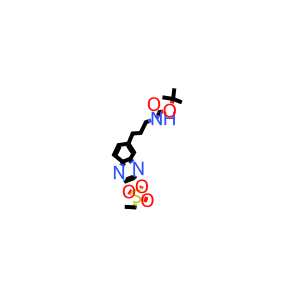 CCS(=O)(=O)Oc1cnc2ccc(CCCNC(=O)OC(C)(C)C)cc2n1